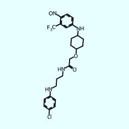 O=Nc1ccc(NC2CCC(OCC(=O)NCCCNc3ccc(Cl)cc3)CC2)cc1C(F)(F)F